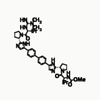 COC(=O)N[C@H](C(=O)N1CCC[C@H]1c1ncc(-c2ccc(-c3ccc(-c4cnc([C@@H]5CCCN5C(=O)[C@@H](NC(=N)N(C)C)C(C)C)[nH]4)cc3)cc2)[nH]1)C(C)C